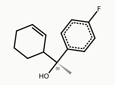 C[C@@](O)(c1ccc(F)cc1)C1C=CCCC1